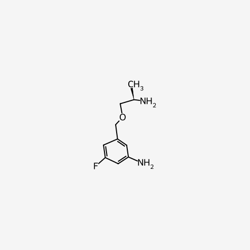 C[C@@H](N)COCc1cc(N)cc(F)c1